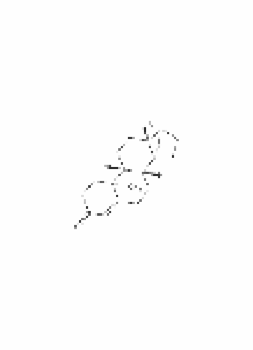 C[C@@]12CCC[C@H]1[C@@H]1CCC3=CC(=O)CC[C@@]3(C)[C@@H]1CC2